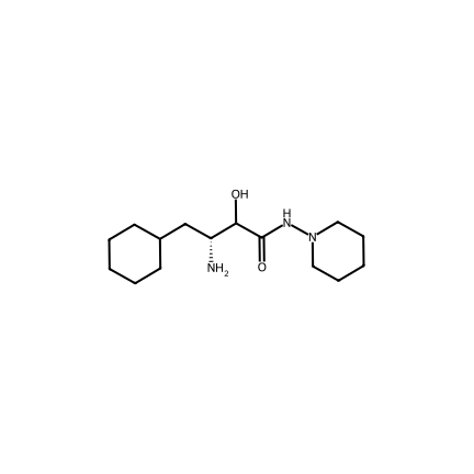 N[C@H](CC1CCCCC1)C(O)C(=O)NN1CCCCC1